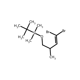 CC(C=C(Br)Br)CO[Si](C)(C)C(C)(C)C